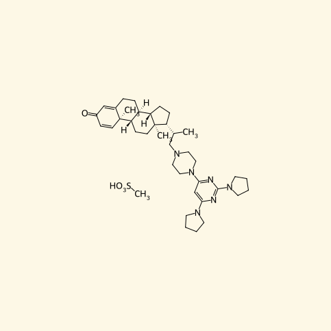 CC(CN1CCN(c2cc(N3CCCC3)nc(N3CCCC3)n2)CC1)[C@H]1CC[C@H]2[C@@H]3CCC4=CC(=O)C=C[C@]4(C)[C@H]3CC[C@]12C.CS(=O)(=O)O